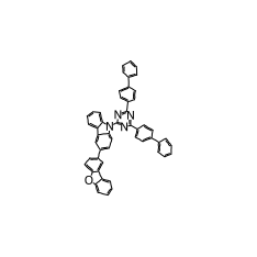 c1ccc(-c2ccc(-c3nc(-c4ccc(-c5ccccc5)cc4)nc(-n4c5ccccc5c5cc(-c6ccc7oc8ccccc8c7c6)ccc54)n3)cc2)cc1